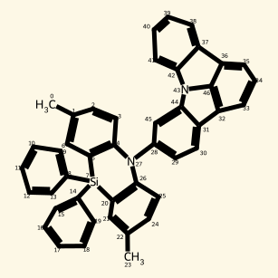 Cc1ccc2c(c1)[Si](c1ccccc1)(c1ccccc1)c1cc(C)ccc1N2c1ccc2c3cccc4c5ccccc5n(c2c1)c43